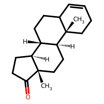 C[C@]12CCC=CC1CC[C@@H]1[C@@H]2CC[C@]2(C)C(=O)CC[C@@H]12